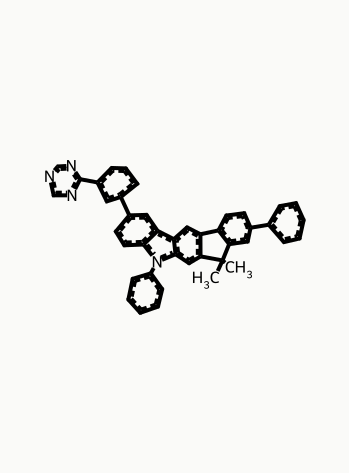 CC1(C)c2cc(-c3ccccc3)ccc2-c2cc3c4cc(-c5cccc(-c6ncncn6)c5)ccc4n(-c4ccccc4)c3cc21